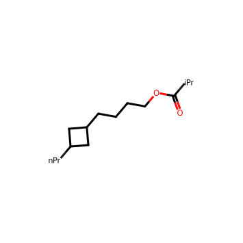 [CH2]CCC1CC(CCCCOC(=O)C(C)C)C1